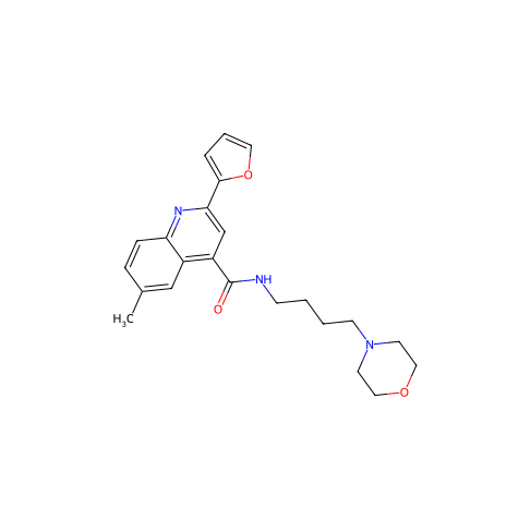 Cc1ccc2nc(-c3ccco3)cc(C(=O)NCCCCN3CCOCC3)c2c1